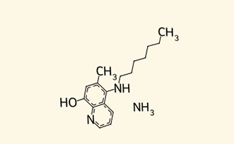 CCCCCCCNc1c(C)cc(O)c2ncccc12.N